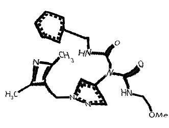 COCNC(=O)N(C(=O)NCc1ccccc1)c1cnn(CC2=C(C)N=C2C)c1